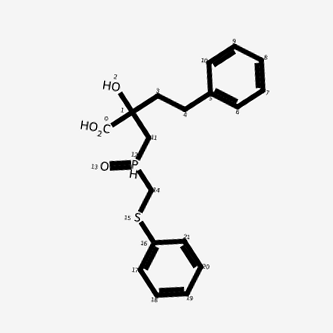 O=C(O)C(O)(CCc1ccccc1)C[PH](=O)CSc1ccccc1